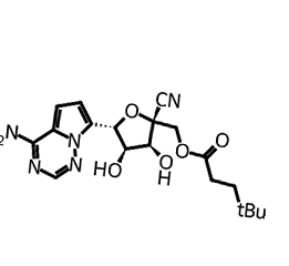 CC(C)(C)CCC(=O)OC[C@@]1(C#N)O[C@@H](c2ccc3c(N)ncnn23)[C@H](O)[C@@H]1O